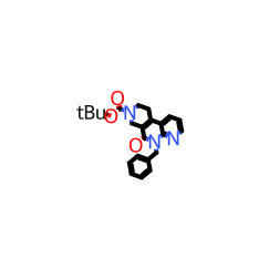 CC(C)(C)OC(=O)N1CCc2c(c(=O)n(Cc3ccccc3)c3ncccc23)C1